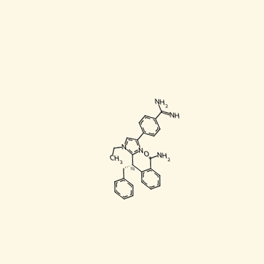 CCn1cc(-c2ccc(C(=N)N)cc2)nc1[C@@H](Cc1ccccc1)c1ccccc1C(N)=O